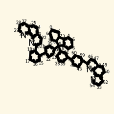 C1=CC2c3ccccc3C(c3ccc(-c4ccccc4-c4ccc5ccc6cccnc6c5n4)cc3)(c3cccc(-c4ccc(-c5ccc6ccc7cccnc7c6n5)cc4)c3)C2C=C1